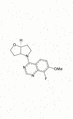 COc1ccc2c(N3CC[C@@H]4OCCC43)ncnc2c1F